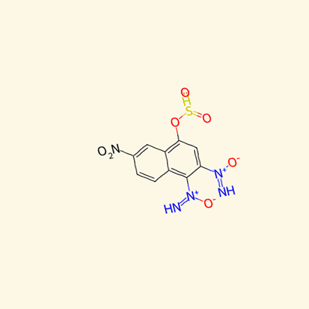 N=[N+]([O-])c1cc(O[SH](=O)=O)c2cc([N+](=O)[O-])ccc2c1[N+](=N)[O-]